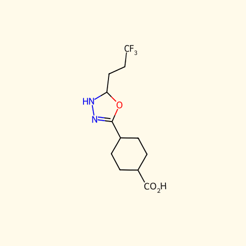 O=C(O)C1CCC(C2=NNC(CCC(F)(F)F)O2)CC1